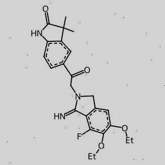 CCOc1cc2c(c(F)c1OCC)C(=N)N(CC(=O)c1ccc3c(c1)C(C)(C)C(=O)N3)C2